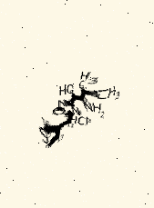 CC(C)[C@H](N)C(O)c1noc(Cc2ccsc2)n1.Cl